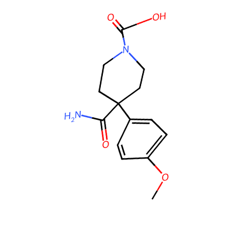 COc1ccc(C2(C(N)=O)CCN(C(=O)O)CC2)cc1